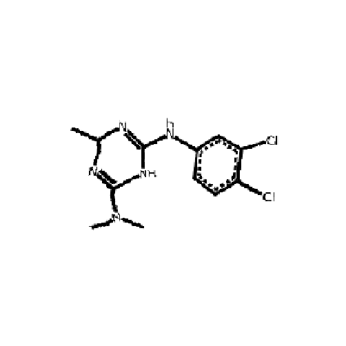 CC1N=C(Nc2ccc(Cl)c(Cl)c2)NC(N(C)C)=N1